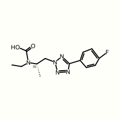 CCN(C(=O)O)[C@@H](C)Cn1nnc(-c2ccc(F)cc2)n1